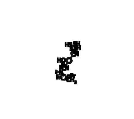 CCC[C@]1(C)CC[C@H](F)[C@H](N(c2cnc(-c3ccc(-c4cnnc(SC(S)(S)S)c4)cc3O)nn2)C2CC2)C1